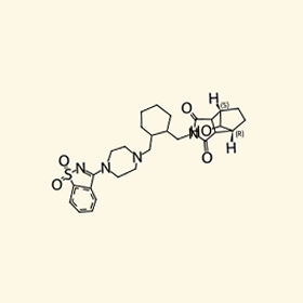 O=C1C2C(C(=O)N1CC1CCCCC1CN1CCN(C3=NS(=O)(=O)c4ccccc43)CC1)[C@@H]1CC[C@H]2C1O